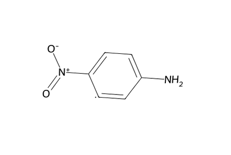 Nc1c[c]c([N+](=O)[O-])cc1